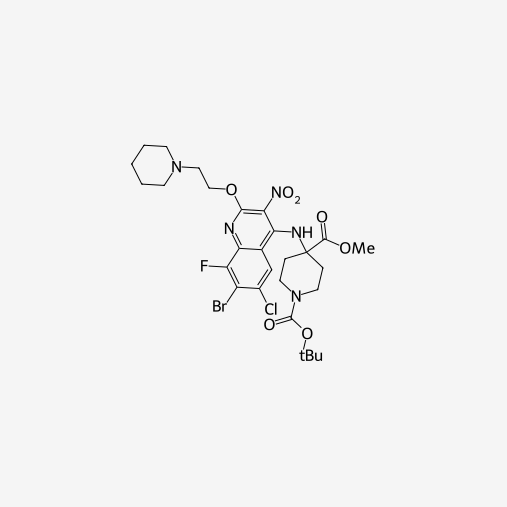 COC(=O)C1(Nc2c([N+](=O)[O-])c(OCCN3CCCCC3)nc3c(F)c(Br)c(Cl)cc23)CCN(C(=O)OC(C)(C)C)CC1